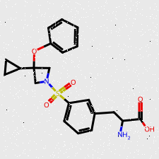 NC(Cc1cccc(S(=O)(=O)N2CC(Oc3ccccc3)(C3CC3)C2)c1)C(=O)O